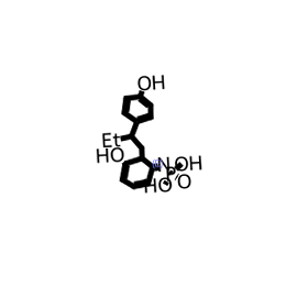 CCC(CC1C(O)=CC=C/C1=N\P(=O)(O)O)c1ccc(O)cc1